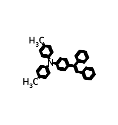 Cc1ccc(N(c2ccc(C)cc2)c2ccc(C(=Cc3ccccc3)c3ccccc3)cc2)cc1